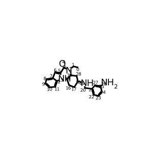 CCN(C(=O)c1cc2ccccc2[nH]1)C1CCCC(NCc2cccc(N)c2)C1